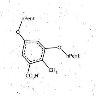 CCCCCOc1cc(OCCCCC)c(C)c(C(=O)O)c1